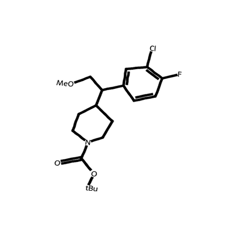 COCC(c1ccc(F)c(Cl)c1)C1CCN(C(=O)OC(C)(C)C)CC1